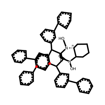 O=C(C(c1cccc(-c2ccccc2)c1)c1cccc(-c2ccccc2)c1)N(O)C1CCCC[C@H]1N(O)C(=O)C(c1cccc(-c2ccccc2)c1)c1cccc(-c2ccccc2)c1